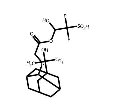 CC(C)(O)C12CC3CC(C1)C(OCC(=O)OC(O)C(F)(F)S(=O)(=O)O)C(C3)C2